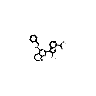 Cc1cn2c(C(N)=O)cccc2c1-c1nc2c(c(NCc3ccccc3)n1)CCCN2